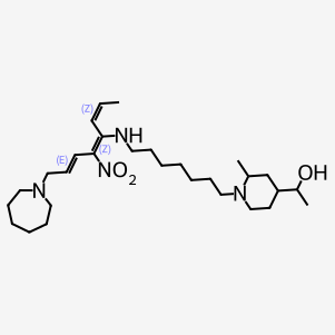 C\C=C/C(NCCCCCCCN1CCC(C(C)O)CC1C)=C(\C=C\CN1CCCCCC1)[N+](=O)[O-]